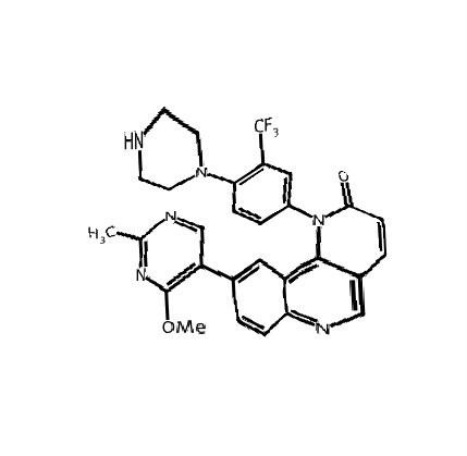 COc1nc(C)ncc1-c1ccc2ncc3ccc(=O)n(-c4ccc(N5CCNCC5)c(C(F)(F)F)c4)c3c2c1